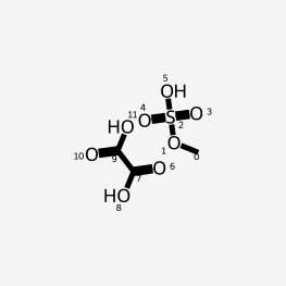 COS(=O)(=O)O.O=C(O)C(=O)O